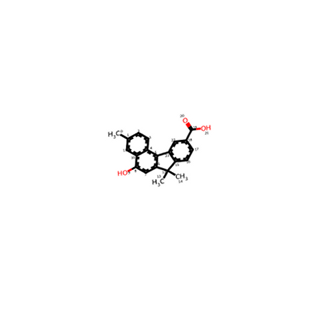 Cc1ccc2c3c(cc(O)c2c1)C(C)(C)c1ccc(C(=O)O)cc1-3